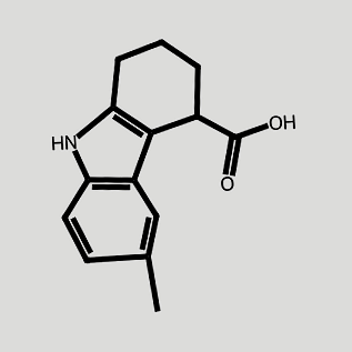 Cc1ccc2[nH]c3c(c2c1)C(C(=O)O)CCC3